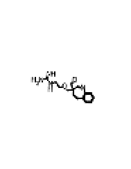 N=C(N)NCCOCC1(C=O)C=Cc2ccccc2N=C1